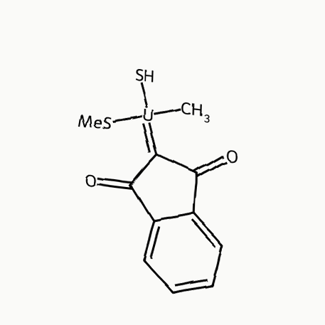 C[S][U]([CH3])([SH])=[C]1C(=O)c2ccccc2C1=O